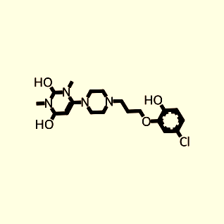 CN1C(N2CCN(CCCOc3cc(Cl)ccc3O)CC2)=CC(O)N(C)C1O